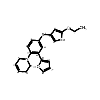 CCOc1cc(Sc2ccc(N3CC=CCC3)c(-c3ccco3)c2)cs1